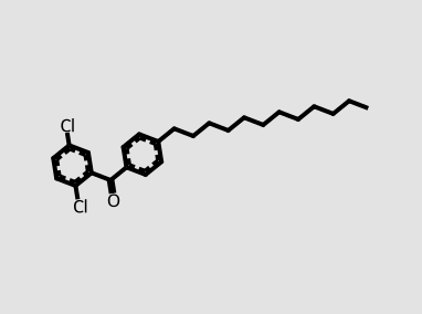 CCCCCCCCCCCCc1ccc(C(=O)c2cc(Cl)ccc2Cl)cc1